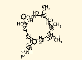 CNC(=O)C[C@@H]1NC(=O)c2csc(n2)-c2ccc(-c3nc(NC(=O)CF)cs3)nc2-c2csc(n2)-c2csc(n2)[C@H]([C@@H](O)c2ccccc2)NC(=O)CNC(=O)c2nc(sc2COC)NC(=O)c2nc1sc2C